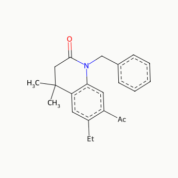 CCc1cc2c(cc1C(C)=O)N(Cc1ccccc1)C(=O)CC2(C)C